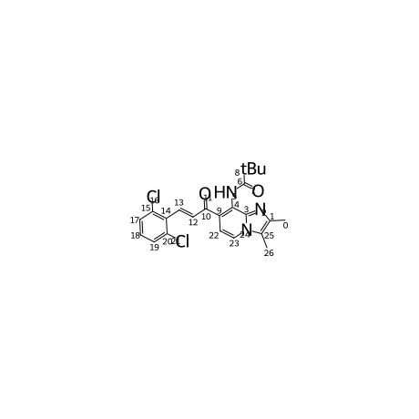 Cc1nc2c(NC(=O)C(C)(C)C)c(C(=O)C=Cc3c(Cl)cccc3Cl)ccn2c1C